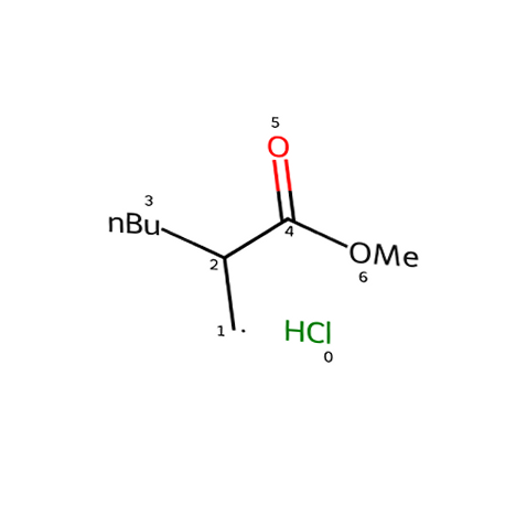 Cl.[CH2]C(CCCC)C(=O)OC